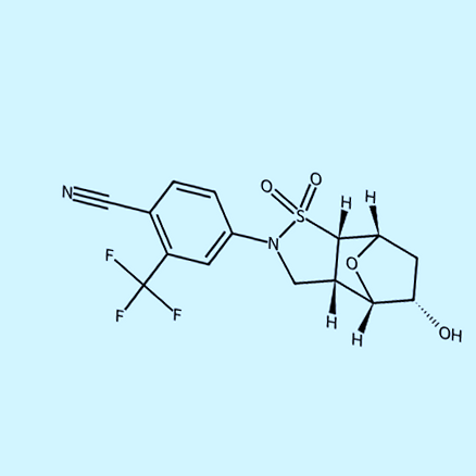 N#Cc1ccc(N2C[C@H]3[C@@H]4O[C@@H](C[C@@H]4O)[C@H]3S2(=O)=O)cc1C(F)(F)F